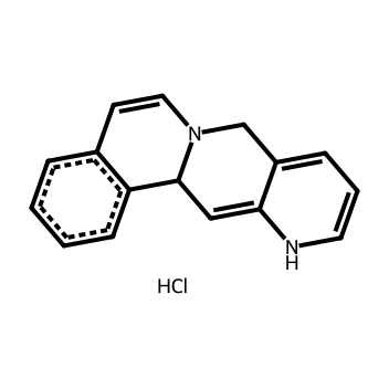 C1=CNC2=CC3c4ccccc4C=CN3CC2=C1.Cl